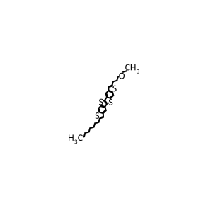 CCCCCCCCc1cc2cc3c(cc2s1)sc1c2cc4cc(CCCOCCC)sc4cc2sc31